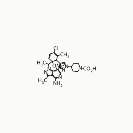 COC1(C(C)n2nc(C)c3c(N)ncnc32)C=CC(Cl)=C(C)C1c1cnn(C2CCN(C(=O)O)CC2)c1